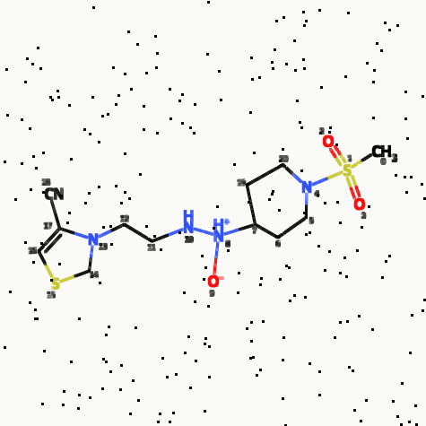 CS(=O)(=O)N1CCC([NH+]([O-])NCCN2CSC=C2C#N)CC1